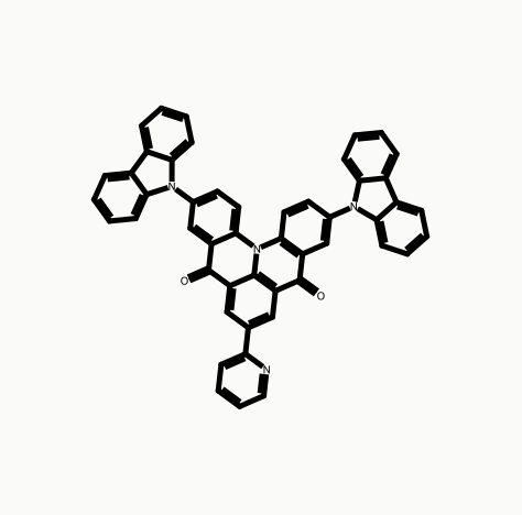 O=c1c2cc(-n3c4ccccc4c4ccccc43)ccc2n2c3ccc(-n4c5ccccc5c5ccccc54)cc3c(=O)c3cc(-c4ccccn4)cc1c32